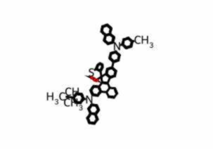 Cc1ccc(N(c2ccc(-c3ccc4c(c3)C3(C5=C4C4C=CC=CC4c4cc(N(c6ccc(C(C)(C)C)cc6)c6ccc7ccccc7c6)ccc45)c4ccccc4Sc4ccccc43)cc2)c2ccc3ccccc3c2)cc1